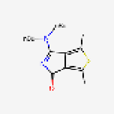 CCCCN(CCCC)C1=NC(=O)c2c(C)sc(C)c21